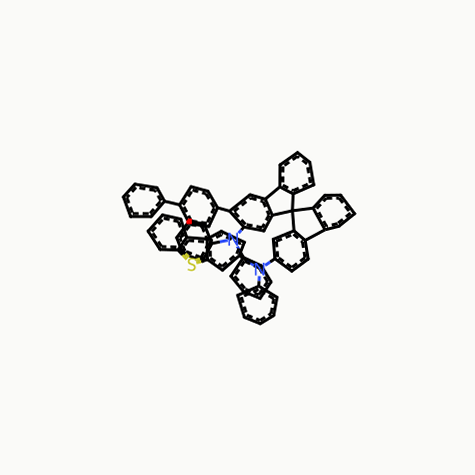 c1ccc(-c2ccc(-c3cc4c(cc3N(c3ccccc3)c3ccccc3)C3(c5ccccc5-c5ccc(N(c6ccccc6)c6ccc7c(c6)sc6ccccc67)cc53)c3ccccc3-4)cc2)cc1